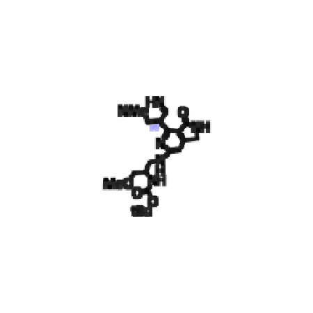 CN/C=C(\C=N)c1nc(NCC(COC)NC(=O)OC(C)(C)C)cc2c1C(=O)NC2